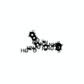 O=C(Nc1ncnc2c1ncn2[C@@H]1O[C@H](C(=O)NCCO)C2OC3(Cc4ccccc4C3)OC21)NC12CC3CC(CC(C3)C1)C2